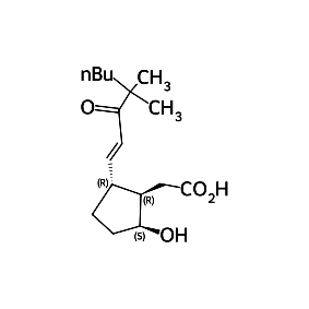 CCCCC(C)(C)C(=O)C=C[C@H]1CC[C@H](O)[C@@H]1CC(=O)O